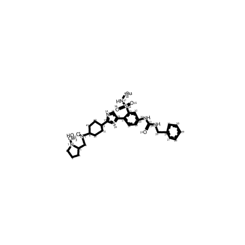 CN1CCCC1CN(C(=O)O)C1CCC(c2ncc(-c3ccc(NC(=O)NCc4ccccc4)cc3S(=O)(=O)NC(C)(C)C)s2)CC1